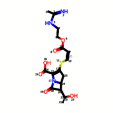 CC(=N)NCCOC(=O)/C=C\SC1=C(C(=O)O)N2C(=O)C([C@H](C)O)C2C1